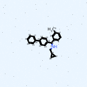 Cc1cccc(C(NCC2CC2)c2ccc(-c3ccccc3)cc2)c1